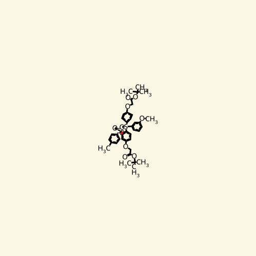 COc1cccc(S(OS(=O)(=O)c2ccc(C)cc2)(c2ccc(OCC(=O)OC(C)(C)C)cc2)c2ccc(OCC(=O)OC(C)(C)C)cc2)c1